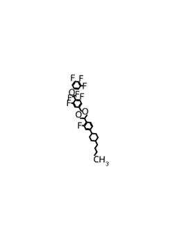 CCCCCC1CCC(c2ccc(C3COC(c4cc(F)c(C(F)(F)Oc5cc(F)c(F)c(F)c5)c(F)c4)OC3)c(F)c2)CC1